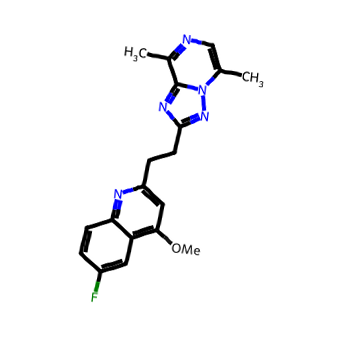 COc1cc(CCc2nc3c(C)ncc(C)n3n2)nc2ccc(F)cc12